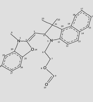 CN1/C(=C/C2N(CCOC=O)c3ccc4ccccc4c3C2(C)C)Oc2ccccc21